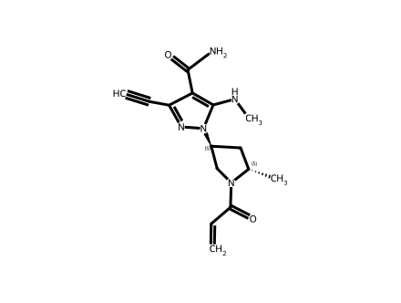 C#Cc1nn([C@H]2C[C@H](C)N(C(=O)C=C)C2)c(NC)c1C(N)=O